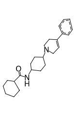 O=C(NC1CCC(N2CC=C(c3ccccc3)CC2)CC1)C1CCCCC1